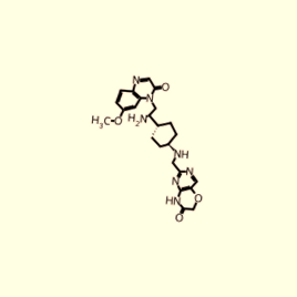 COc1ccc2ncc(=O)n(C[C@@H](N)[C@H]3CC[C@H](NCc4ncc5c(n4)NC(=O)CO5)CC3)c2c1